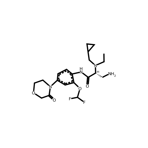 CCN(CC1CC1)[C@H](CN)C(=O)Nc1ccc(N2CCOCC2=O)cc1OC(F)F